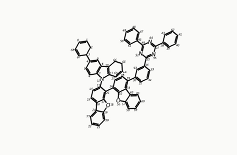 C1=CCC(c2ccc3c(c2)c2c(n3-c3ccc4c(oc5ccccc54)c3-c3ccc(-c4cccc(-c5nc(-c6ccccc6)nc(-c6ccccc6)n5)c4)c4c3oc3ccccc34)C=CCC2)C=C1